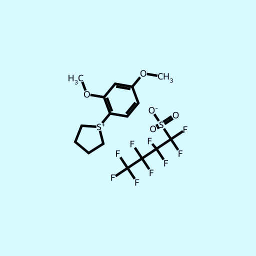 COc1ccc([S+]2CCCC2)c(OC)c1.O=S(=O)([O-])C(F)(F)C(F)(F)C(F)(F)C(F)(F)F